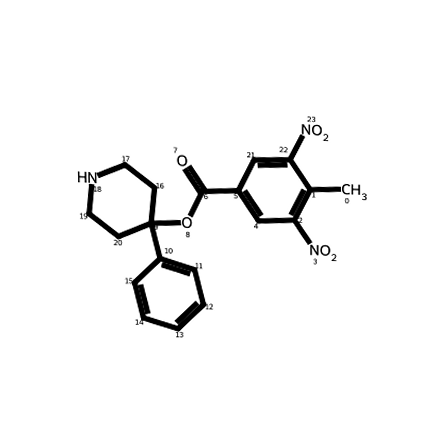 Cc1c([N+](=O)[O-])cc(C(=O)OC2(c3ccccc3)CCNCC2)cc1[N+](=O)[O-]